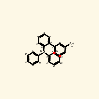 Sc1cccc(-c2ccccc2P(c2ccccc2)c2ccccc2)c1